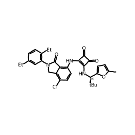 CCc1ccc(CC)c(N2Cc3c(Cl)ccc(Nc4c(N[C@@H](c5ccc(C)o5)C(C)(C)C)c(=O)c4=O)c3C2=O)c1